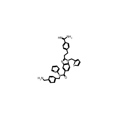 N=C(N)c1ccc(CCc2nc3cc(C(=O)N(Cc4ccc(CN)cc4)c4ccccn4)ccc3n2Cc2cccs2)cc1